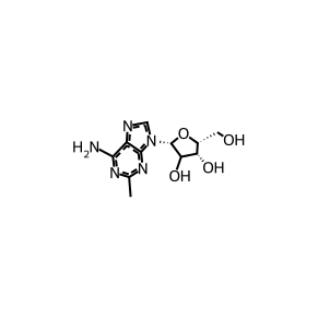 Cc1nc(N)c2ncn([C@@H]3O[C@H](CO)[C@H](O)C3O)c2n1